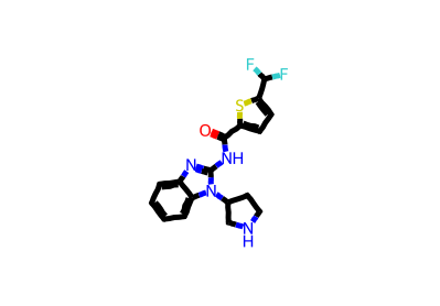 O=C(Nc1nc2ccccc2n1C1CCNC1)c1ccc(C(F)F)s1